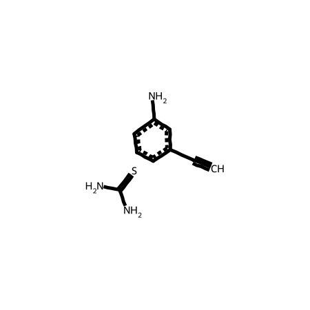 C#Cc1cccc(N)c1.NC(N)=S